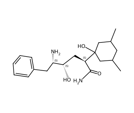 CC1CC(C)CC(O)([C@H](C[C@H](O)[C@@H](N)Cc2ccccc2)C(N)=O)C1